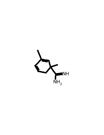 CC1=CC(C)(C(=N)N)CC=C1